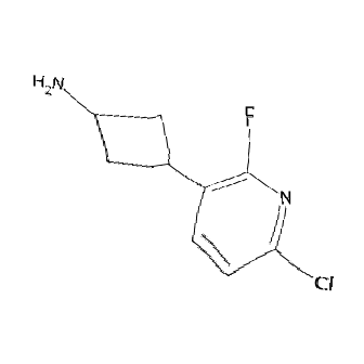 NC1CC(c2ccc(Cl)nc2F)C1